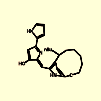 CCCCC1CCCCCCc2cc1c(C=C1N=C(c3ccc[nH]3)C=C1O)[nH]2